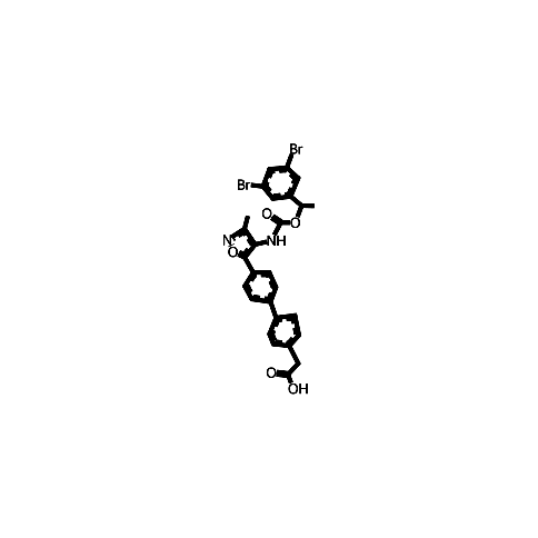 Cc1noc(-c2ccc(-c3ccc(CC(=O)O)cc3)cc2)c1NC(=O)OC(C)c1cc(Br)cc(Br)c1